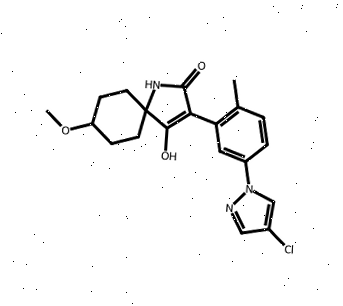 COC1CCC2(CC1)NC(=O)C(c1cc(-n3cc(Cl)cn3)ccc1C)=C2O